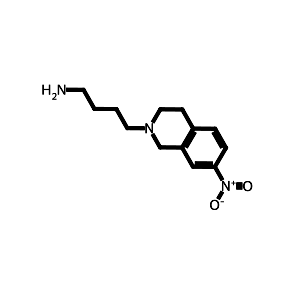 NCCCCN1CCc2ccc([N+](=O)[O-])cc2C1